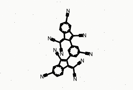 N#CC(C#N)=C1C(c2cc(C#N)cc(C3=C(C#N)c4cc(C#N)ccc4C3=C(C#N)C#N)c2)=C(C#N)c2cc(C#N)ccc21